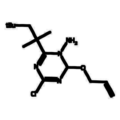 C=CCOC1N=C(Cl)N=C(C(C)(C)CC(C)(C)C)N1N